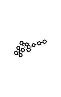 c1ccc(-c2ccc(-c3ccc(-n4c5ccccc5c5c4ccc4c6ccccc6n(-c6ccc7c(c6)C6(c8ccccc8-c8ccccc86)c6ccccc6-7)c45)cc3)cc2)cc1